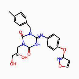 Cc1ccc(Cn2c(=O)n(C[C@H](O)CO)c(=O)[nH]/c2=N\c2ccc(Oc3ccon3)cc2)cc1